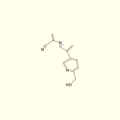 C=C(C#N)/N=C/C(=C)c1ccc(CO)nc1